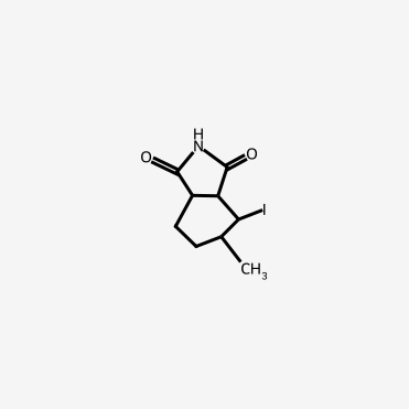 CC1CCC2C(=O)NC(=O)C2C1I